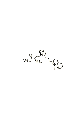 COC(=O)[C@H](N)CCN(C)CCCCc1ccc2c(n1)NCCC2